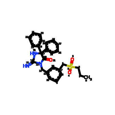 CCCS(=O)(=O)Cc1cccc(CN2C(=N)NC(c3ccccc3)(c3ccccc3)C2=O)c1